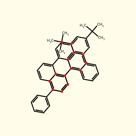 CC(C)(C)c1cc(-c2ccccc2N(c2ccc(-c3ccccc3)cc2)c2ccccc2-c2cccc3cccc(-c4ccccc4)c23)cc(C(C)(C)C)c1